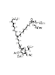 CCCCCCCCCCCOP(=O)(OCCCCCCCCCCC)OCCCCCCCN(CCCCCCCC(=O)O)CCCCO[C@H]1O[C@H](COC(C)=O)[C@@H](OC(C)=O)[C@H](OC(C)=O)[C@@H]1OC(C)=O